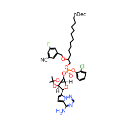 CCCCCCCCCCCCCCCCCCCCC(COP(=O)(Oc1ccccc1Cl)OC1[C@H]2O[C@@H](c3ccc4c(N)ncnn34)[C@@H]3OC(C)(C)O[C@]123)OCc1cc(F)cc(C#N)c1